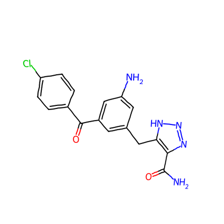 NC(=O)c1nn[nH]c1Cc1cc(N)cc(C(=O)c2ccc(Cl)cc2)c1